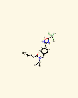 C=CCCC(=O)N(Cc1ccc(-c2noc(C(F)(F)F)n2)cc1)C1CC1